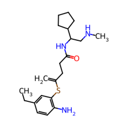 C=C(CCC(=O)NC(CNC)C1CCCC1)Sc1cc(CC)ccc1N